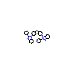 c1ccc(-c2nc3ccccc3n2-c2ccc3c(c2)-c2cc(-n4c(-c5ccccc5)nc5ccccc54)ccc2C3)cc1